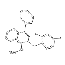 CC(C)(C)OC(=O)C(Cc1ccc(I)cc1I)N=C(c1ccccc1)c1ccccc1